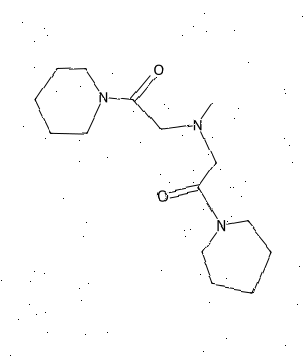 CN(CC(=O)N1CCCCC1)CC(=O)N1CCCCC1